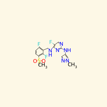 Cn1cc(Nc2ncc(F)c(NCc3c(F)ccc(S(C)(=O)=O)c3F)n2)cn1